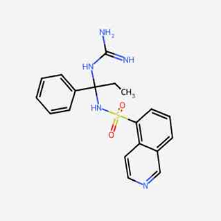 CCC(NC(=N)N)(NS(=O)(=O)c1cccc2cnccc12)c1ccccc1